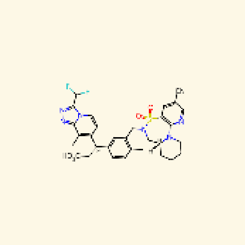 Cc1ccc([C@H](CC(=O)O)c2ccn3c(C(F)F)nnc3c2C)cc1CN1C[C@H]2CCCCN2c2ncc(C#N)cc2S1(=O)=O